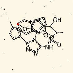 COc1cccc(OC)c1-n1c(NS(=O)(=O)C(C)C(O)c2cn3ccccc3n2)nnc1-c1ccc(C)o1